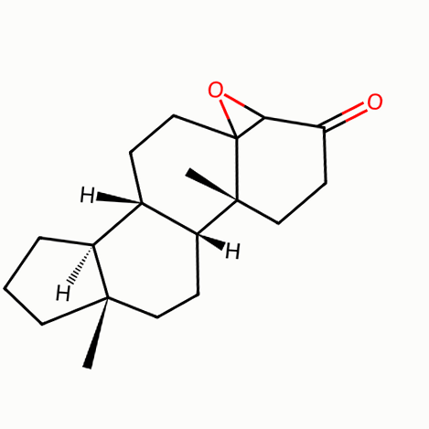 C[C@@]12CCC[C@H]1[C@@H]1CCC34OC3C(=O)CC[C@]4(C)[C@@H]1CC2